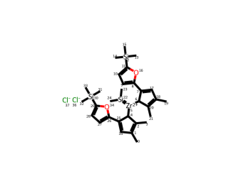 CC1=C(C)[CH]([Zr+2]([CH]2C(c3ccc([Si](C)(C)C)o3)=CC(C)=C2C)=[Si](C)C)C(c2ccc([Si](C)(C)C)o2)=C1.[Cl-].[Cl-]